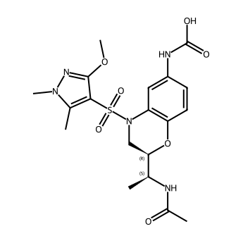 COc1nn(C)c(C)c1S(=O)(=O)N1C[C@H]([C@H](C)NC(C)=O)Oc2ccc(NC(=O)O)cc21